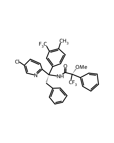 CO[C@](C(=O)N[C@](Cc1ccccc1)(c1ccc(C)c(C(F)(F)F)c1)c1ccc(Cl)cn1)(c1ccccc1)C(F)(F)F